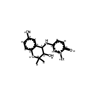 CCn1nc(NC2c3cc(C#N)ccc3OC(C)(C)C2O)ccc1=O